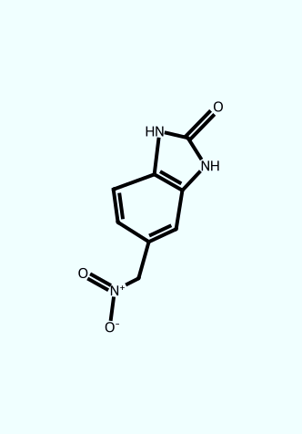 O=c1[nH]c2ccc(C[N+](=O)[O-])cc2[nH]1